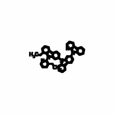 CCc1cccnc1-n1c2cc(-n3c4ccccc4c4ccc(-n5c6ccccc6c6cccnc65)cc43)ccc2c2cccc(CC)c21